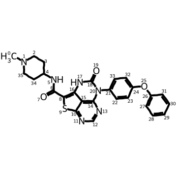 CN1CCC(NC(=O)c2sc3ncnc4c3c2NC(=O)N4c2ccc(Oc3ccccc3)cc2)CC1